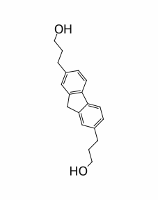 OCCCc1ccc2c(c1)Cc1cc(CCCO)ccc1-2